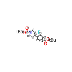 CC(C)(C)OC(=O)c1ccc(C2CCN(C(=O)OC(C)(C)C)CC2)c(F)c1